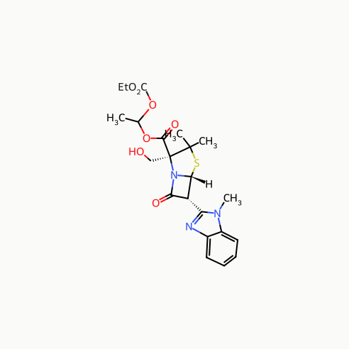 CCOC(=O)OC(C)OC(=O)[C@]1(CO)N2C(=O)[C@@H](c3nc4ccccc4n3C)[C@H]2SC1(C)C